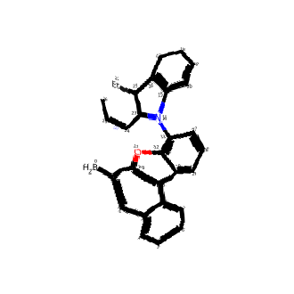 Bc1cc2ccccc2c2c1oc1c(N3C4=C(CCC=C4)C(CC)C3/C=C\C)cccc12